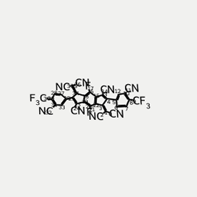 N#CC(C#N)=C1C(c2ccc(C(F)(F)F)c(C#N)c2)=C(C#N)c2c(F)c3c(c(F)c21)C(C#N)=C(c1ccc(C(F)(F)F)c(C#N)c1)C3=C(C#N)C#N